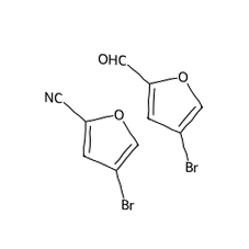 N#Cc1cc(Br)co1.O=Cc1cc(Br)co1